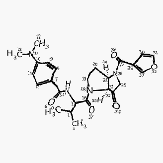 CC(C)C(NC(=O)c1ccc(N(C)C)cc1)C(=O)N1CC[C@@H]2[C@H]1C(=O)CN2C(=O)c1ccoc1